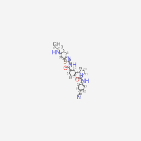 CCCN[C@H]1CCc2nc(NC(=O)c3cccc([C@H]4CCCN4C(=O)Nc4ccc(C#N)cc4)c3)sc2C1